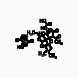 CCCCOC(C(=O)O)(C(C(C)=O)C(=O)O)C(CCCC)(CCCC)C(=O)O.O=C(O)O.O=C(O)O.O=C(O)OO